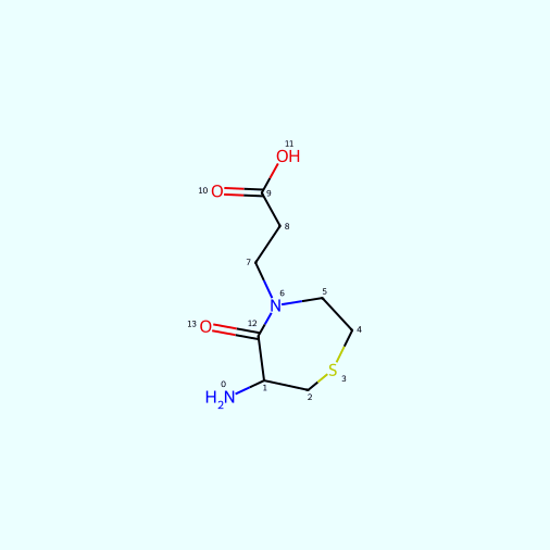 NC1CSCCN(CCC(=O)O)C1=O